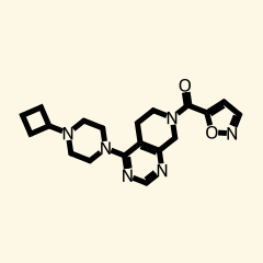 O=C(c1ccno1)N1CCc2c(ncnc2N2CCN(C3CCC3)CC2)C1